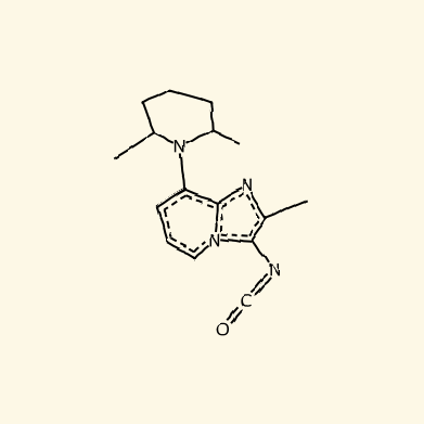 Cc1nc2c(N3C(C)CCCC3C)cccn2c1N=C=O